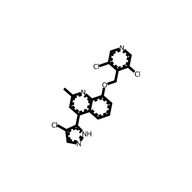 Cc1cc(-c2[nH]ncc2Cl)c2cccc(OCc3c(Cl)cncc3Cl)c2n1